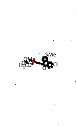 COC(=O)C1(C)OCC(CCCCC(C(=O)c2ccc(Cl)cc2)c2ccc(SC)cc2)CO1